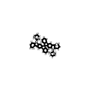 c1cnc(-n2c3ccccc3c3cc4c(cc32)C2(c3ccccc3-4)c3ccccc3-c3cc4c5ccccc5n(-c5ncccn5)c4cc32)nc1